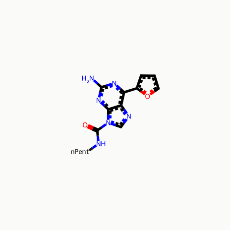 CCCCCNC(=O)n1cnc2c(-c3ccco3)nc(N)nc21